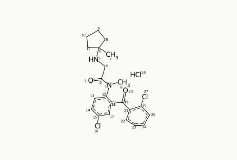 CN(C(=O)CNC1(C)CCCC1)c1ccc(Cl)cc1C(=O)c1ccccc1Cl.Cl